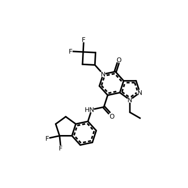 CCn1ncc2c(=O)n(C3CC(F)(F)C3)cc(C(=O)Nc3cccc4c3CCC4(F)F)c21